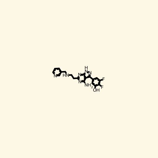 Nc1nc(CCNCc2cccnc2)nc2[nH]nc(-c3cc(O)c(F)c(F)c3)c12